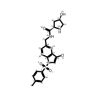 Cc1ccc(S(=O)(=O)n2cc(Cl)c3nc(CNC(=O)[C@H]4C[C@@H](O)CN4)cnc32)cc1